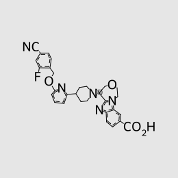 N#Cc1ccc(COc2cccc(C3CCN([C@@H]4COCCn5c4nc4ccc(C(=O)O)cc45)CC3)n2)c(F)c1